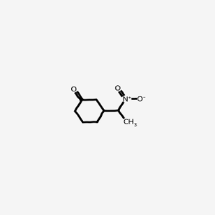 CC(C1CCCC(=O)C1)[N+](=O)[O-]